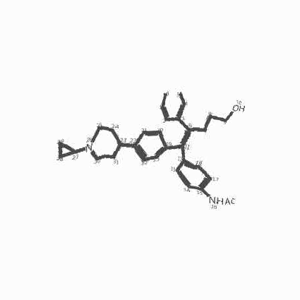 C\C=C/C(=C\C)C(/CCCO)=C(/c1ccc(NC(C)=O)cc1)c1ccc(C2CCN(C3CC3)CC2)cc1